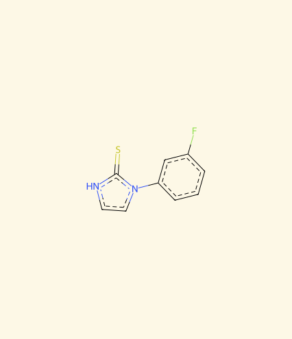 Fc1cccc(-n2cc[nH]c2=S)c1